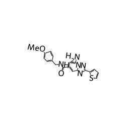 COc1ccc(CNC(=O)c2cc(N)n3nc(-c4cccs4)nc3c2)cc1